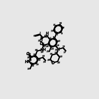 C=CC(=O)Nc1c(-c2ccccc2)cc(N(CC)C2CCOCC2)c(C)c1C(=O)NCc1c(CC)cc(C)[nH]c1=O